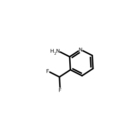 Nc1ncccc1C(F)F